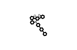 c1ccc(-c2ccc(-c3ccc(N(c4ccccc4)c4cc5c6ccccc6oc5c5oc6ccccc6c45)cc3)cc2)cc1